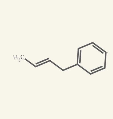 CC=CCc1cc[c]cc1